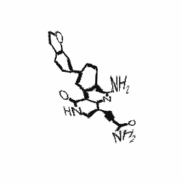 NC(=O)C#Cc1c[nH]c(=O)c2c1nc(N)c1ccc(-c3ccc4c(c3)OCC4)cc12